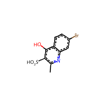 Cc1nc2cc(Br)ccc2c(O)c1S(=O)(=O)O